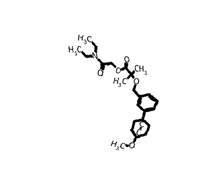 CCN(CC)C(=O)COC(=O)C(C)(C)OCc1cccc(C23CCC(OC)(CC2)CC3)c1